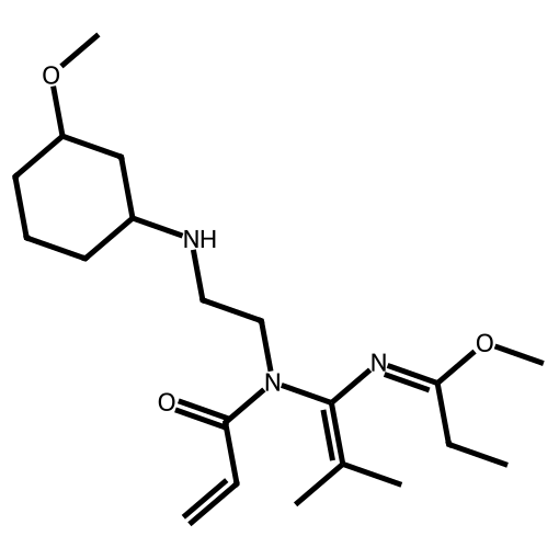 C=CC(=O)N(CCNC1CCCC(OC)C1)C(/N=C(\CC)OC)=C(C)C